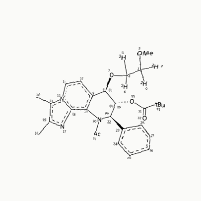 [2H]C([2H])(OC)C([2H])([2H])O[C@@H]1c2ccn3c(C)c(C)nc3c2N(C(C)=O)[C@H](c2ccccc2)[C@H]1OC(=O)C(C)(C)C